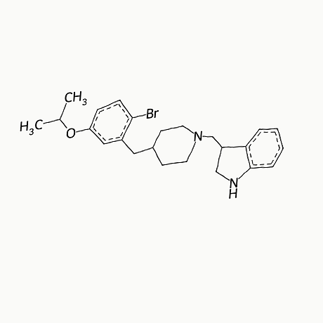 CC(C)Oc1ccc(Br)c(CC2CCN(CC3CNc4ccccc43)CC2)c1